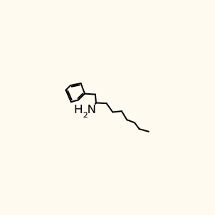 CCCCCCCC(N)Cc1ccccc1